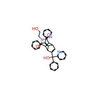 O=C1C2C3C=C(C(O)(c4ccccc4)c4ccccn4)C(C3=C(c3ccccc3)c3ccccn3)C2C(=O)N1CCO